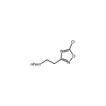 CCCCCCCc1noc(Cl)n1